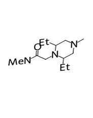 CCC1CN(C)CC(CC)N1CC(=O)NC